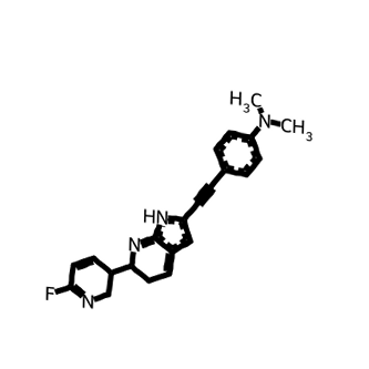 CN(C)c1ccc(C#Cc2cc3c([nH]2)=NC(C2C=CC(F)=NC2)CC=3)cc1